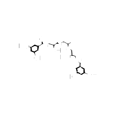 CC(COCC(O)COC(=O)c1cc(O)cc(O)c1)OCC(O)COC(=O)c1cc(O)cc(O)c1